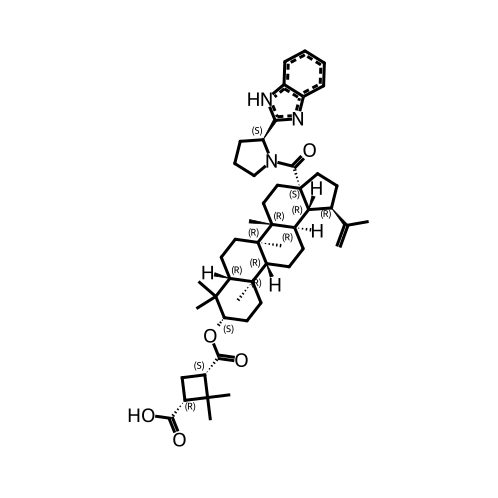 C=C(C)[C@@H]1CC[C@]2(C(=O)N3CCC[C@H]3c3nc4ccccc4[nH]3)CC[C@]3(C)[C@H](CC[C@@H]4[C@@]5(C)CC[C@H](OC(=O)[C@H]6C[C@@H](C(=O)O)C6(C)C)C(C)(C)[C@@H]5CC[C@]43C)[C@@H]12